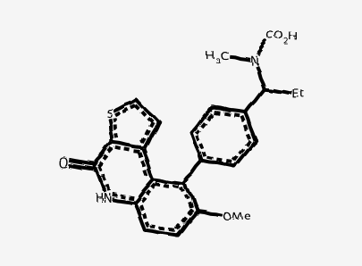 CCC(c1ccc(-c2c(OC)ccc3[nH]c(=O)c4sccc4c23)cc1)N(C)C(=O)O